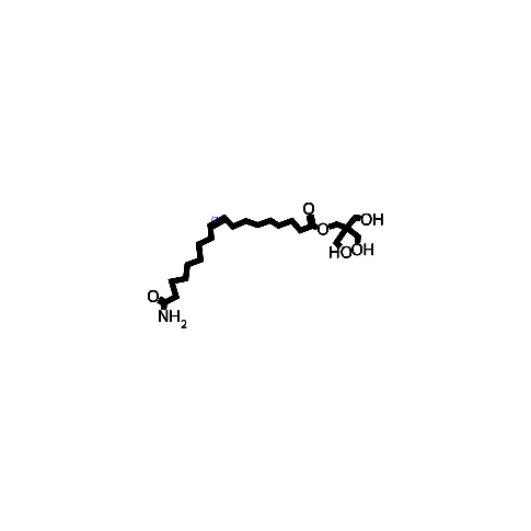 NC(=O)CCCCCCC/C=C\CCCCCCCC(=O)OCC(CO)(CO)CO